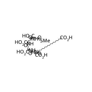 CSCC(=O)CC[C@H](NC(=O)CC[C@H](NC(=O)CC[C@H](NC(=O)CC[C@H](NC(=O)CCCCCCCCCCCCCCCCC(=O)O)C(=O)O)C(=O)O)C(=O)O)C(=O)O